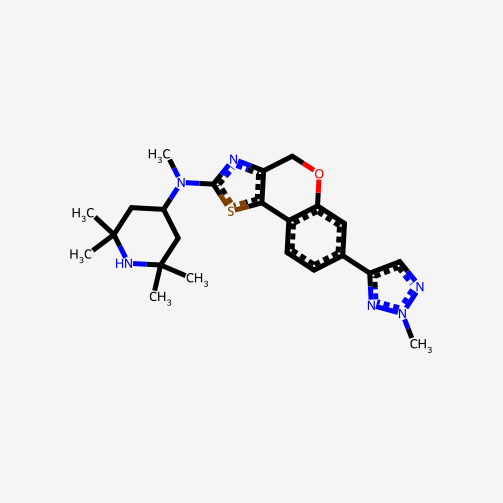 CN(c1nc2c(s1)-c1ccc(-c3cnn(C)n3)cc1OC2)C1CC(C)(C)NC(C)(C)C1